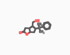 C[Si](C)(c1ccccc1)C1CC2OC(=O)CC2C1CO